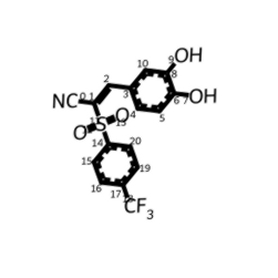 N#C/C(=C/c1ccc(O)c(O)c1)S(=O)(=O)c1ccc(C(F)(F)F)cc1